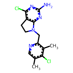 Cc1cnc(CN2CCc3c(Cl)nc(N)nc32)c(C)c1Cl